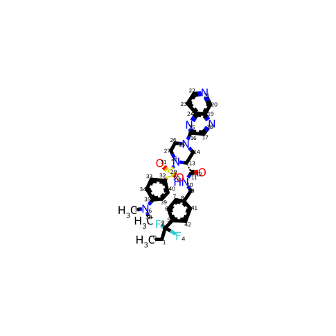 CCC(F)(F)c1ccc(CNC(=O)[C@H]2CN(c3cnc4cnccc4n3)CCN2S(=O)(=O)c2ccc(N(C)C)cc2)cc1